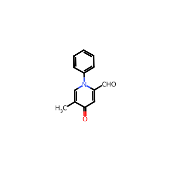 Cc1cn(-c2ccccc2)c(C=O)cc1=O